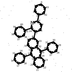 c1ccc(-c2ccc(-c3ccc4c(-c5ccccc5)c5ccccc5c(-c5ccccc5)c4c3)c(-c3ccccc3)n2)cc1